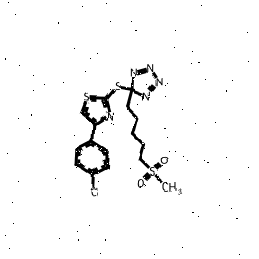 CS(=O)(=O)CCCCCC1(Sc2nc(-c3ccc(Cl)cc3)cs2)N=NN=N1